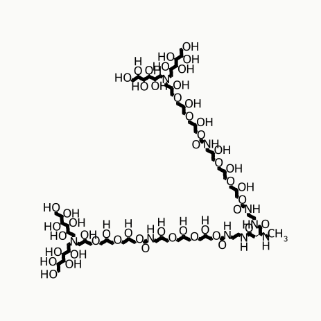 CN[C@H](CC(=O)NCCNC(=O)OCC(O)COCC(O)COCC(O)CNC(=O)OCC(O)COCC(O)COCC(O)CN(C[C@H](O)[C@@H](O)[C@H](O)[C@H](O)CO)C[C@H](O)[C@@H](O)[C@H](O)[C@H](O)CO)C(=O)NCCNC(=O)OCC(O)COCC(O)COCC(O)CNC(=O)OCC(O)COCC(O)COCC(O)CN(C[C@H](O)[C@@H](O)[C@H](O)[C@H](O)CO)C[C@H](O)[C@@H](O)[C@H](O)[C@H](O)CO